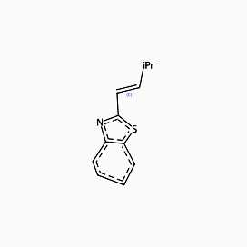 CC(C)/C=C/c1nc2ccccc2s1